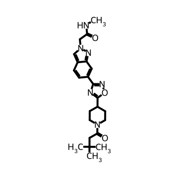 CNC(=O)Cn1cc2ccc(-c3noc(C4CCN(C(=O)CC(C)(C)C)CC4)n3)cc2n1